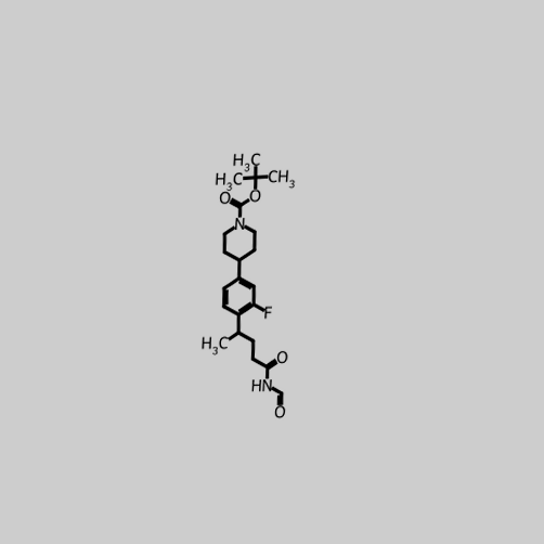 CC(CCC(=O)NC=O)c1ccc(C2CCN(C(=O)OC(C)(C)C)CC2)cc1F